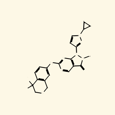 CC(C)n1c(=O)c2cnc(Nc3ccc4c(c3)CNCC4(C)C)nc2n1-c1ccn(C2CC2)n1.Cl